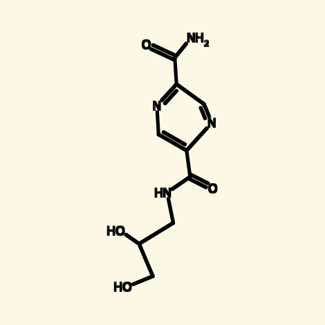 NC(=O)c1cnc(C(=O)NCC(O)CO)cn1